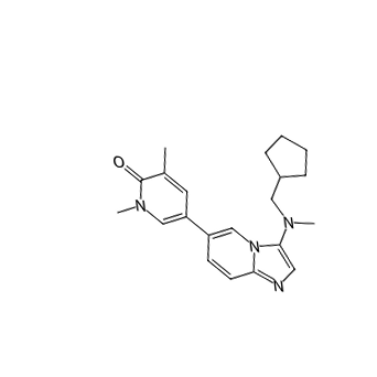 Cc1cc(-c2ccc3ncc(N(C)CC4CCCC4)n3c2)cn(C)c1=O